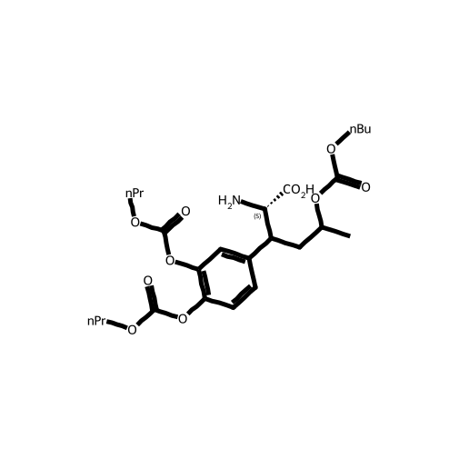 CCCCOC(=O)OC(C)CC(c1ccc(OC(=O)OCCC)c(OC(=O)OCCC)c1)[C@H](N)C(=O)O